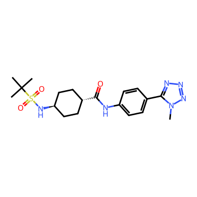 Cn1nnnc1-c1ccc(NC(=O)[C@H]2CC[C@H](NS(=O)(=O)C(C)(C)C)CC2)cc1